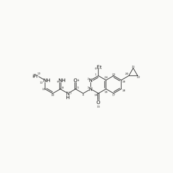 CCc1nn(CC(=O)NC(=N)/C=C\NC(C)C)c(=O)c2ccc(C3CC3)cc12